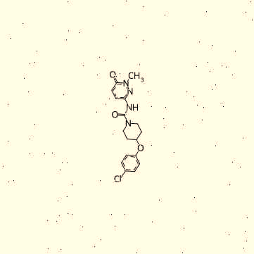 Cn1nc(NC(=O)N2CCC(Oc3ccc(Cl)cc3)CC2)ccc1=O